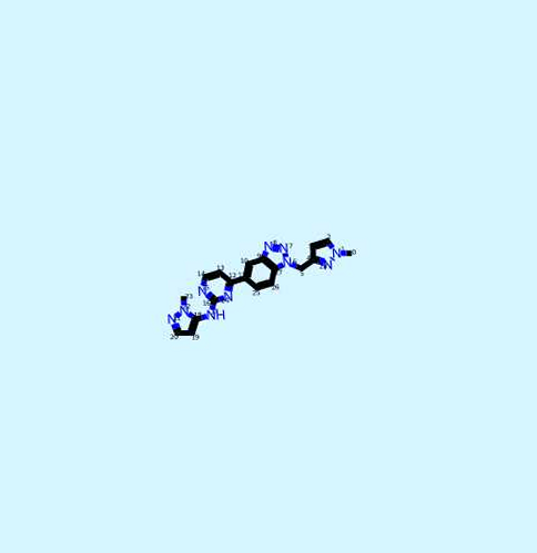 Cn1ccc(Cn2nnc3cc(-c4ccnc(Nc5ccnn5C)n4)ccc32)n1